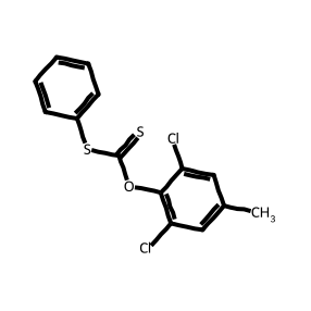 Cc1cc(Cl)c(OC(=S)Sc2ccccc2)c(Cl)c1